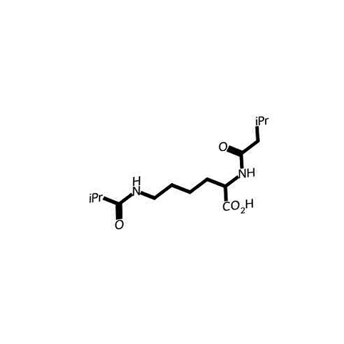 CC(C)CC(=O)NC(CCCCNC(=O)C(C)C)C(=O)O